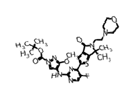 COc1nn(C(=O)OC(C)(C)C)cc1Nc1ncc(F)c(-c2cc3c(s2)C(C)(C)N(CCN2CCOCC2)C3=O)n1